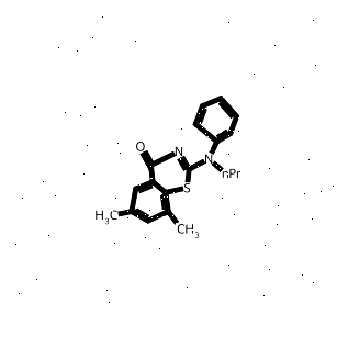 CCCN(c1ccccc1)c1nc(=O)c2cc(C)cc(C)c2s1